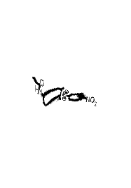 C=CC(=O)NC1CC(C)N(S(=O)(=O)c2ccc([N+](=O)[O-])cc2)C(C)C1